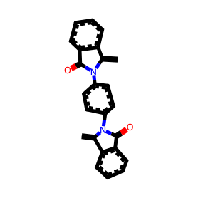 C=C1c2ccccc2C(=O)N1c1ccc(N2C(=C)c3ccccc3C2=O)cc1